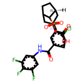 O=C(O)/C=C1/CC2CC[C@@H](C1)C2S(=O)(=O)c1cc(C(=O)Nc2cc(F)c(F)c(F)c2)ccc1Cl